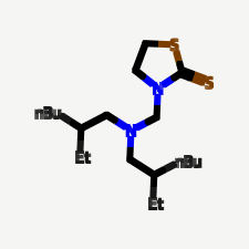 CCCCC(CC)CN(CC(CC)CCCC)CN1CCSC1=S